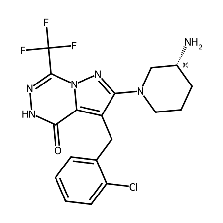 N[C@@H]1CCCN(c2nn3c(C(F)(F)F)n[nH]c(=O)c3c2Cc2ccccc2Cl)C1